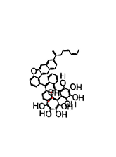 C=C(C/C=C\C=C/C)c1ccc2cc3c(cc2c1)oc1cccc(-c2c4ccccc4c(-c4c(O)c(O)c(O)c(O)c4C4=C(O)CC(O)=C(O)C(O)=C4O)c4ccccc24)c13